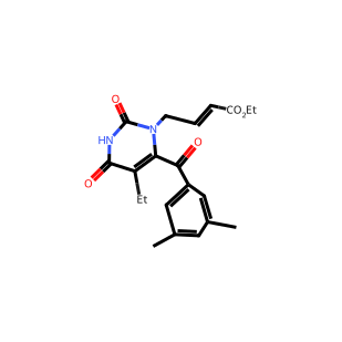 CCOC(=O)C=CCn1c(C(=O)c2cc(C)cc(C)c2)c(CC)c(=O)[nH]c1=O